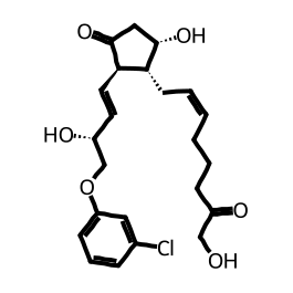 O=C(CO)CCC/C=C\C[C@H]1[C@@H](O)CC(=O)[C@@H]1/C=C/[C@@H](O)COc1cccc(Cl)c1